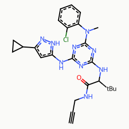 C#CCNC(=O)C(Nc1nc(Nc2cc(C3CC3)n[nH]2)nc(N(C)c2ccccc2Cl)n1)C(C)(C)C